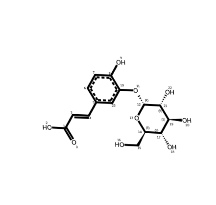 O=C(O)C=Cc1ccc(O)c(O[C@H]2O[C@H](CO)[C@@H](O)[C@H](O)[C@H]2O)c1